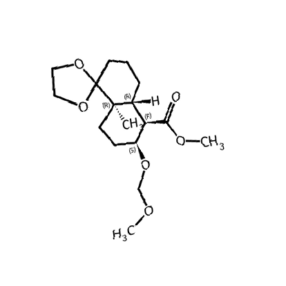 COCO[C@H]1CC[C@]2(C)[C@H](CCCC23OCCO3)[C@H]1C(=O)OC